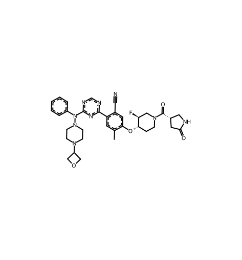 Cc1cc(-c2ncnc(N(c3ccccc3)N3CCN(C4COC4)CC3)n2)c(C#N)cc1O[C@H]1CCN(C(=O)[C@@H]2CNC(=O)C2)C[C@@H]1F